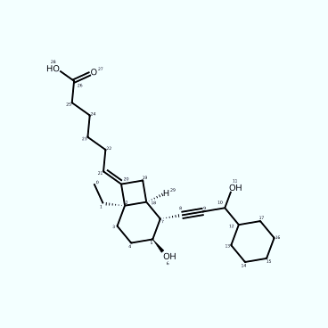 CC[C@@]12CC[C@H](O)[C@@H](C#CC(O)C3CCCCC3)[C@@H]1CC2=CCCCCC(=O)O